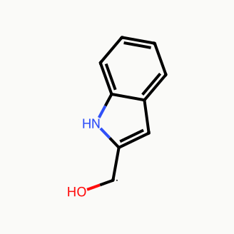 O[CH]c1cc2ccccc2[nH]1